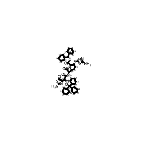 Nc1nnc(SC2=C(C(=O)OC(c3ccccc3)c3ccccc3)N3C(=O)[C@H](NC(=O)C(=NOC(c4ccccc4)(c4ccccc4)c4ccccc4)c4nc(N)sc4Cl)C3CC2)s1